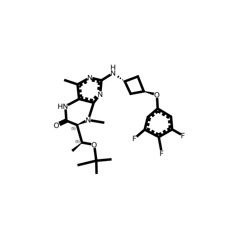 Cc1nc(N[C@H]2C[C@H](Oc3cc(F)c(F)c(F)c3)C2)nc2c1NC(=O)[C@H]([C@H](C)OC(C)(C)C)N2C